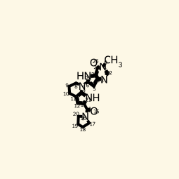 Cn1cnc2cc(N3CCCc4cc(C(=O)N5CCCC5)[nH]c43)[nH]c2c1=O